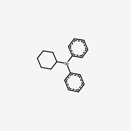 c1cc[c]([Sb]([c]2ccccc2)[CH]2CCCCC2)cc1